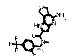 C[C@H](c1ccc(C(F)(F)F)cc1F)N(C)C(=O)c1cc2nc(N)c3c(c2[nH]1)COC3